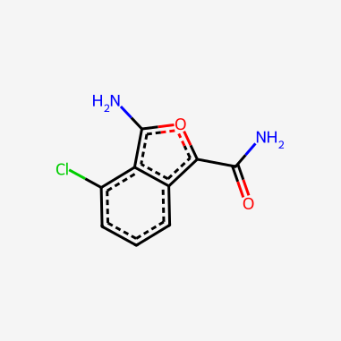 NC(=O)c1oc(N)c2c(Cl)cccc12